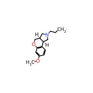 [CH2]CCN1C[C@@H]2COc3cc(OC)ccc3[C@@H]2C1